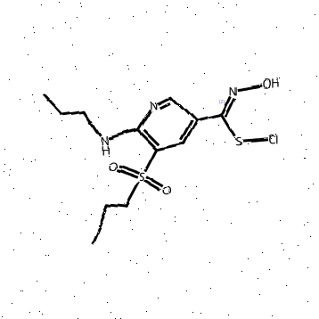 CCCNc1ncc(/C(=N/O)SCl)cc1S(=O)(=O)CCC